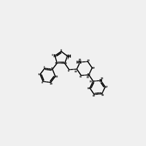 c1ccc(-c2nc[nH]c2CC2CN(c3ccccn3)CCN2)cc1